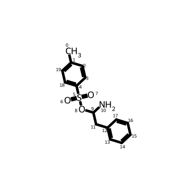 Cc1ccc(S(=O)(=O)OC(N)Cc2ccccc2)cc1